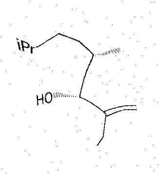 C=C(C)[C@H](O)[C@@H](C)CC(C)C